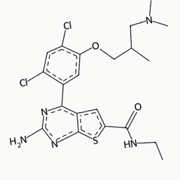 CCNC(=O)c1cc2c(-c3cc(OCC(C)CN(C)C)c(Cl)cc3Cl)nc(N)nc2s1